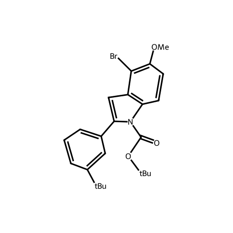 COc1ccc2c(cc(-c3cccc(C(C)(C)C)c3)n2C(=O)OC(C)(C)C)c1Br